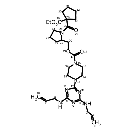 C=CCNc1nc(NCC=C)nc(N2CCN(C(=O)OCC3CCCN3C(=O)C3(C(=O)OCC)CCCC3)CC2)n1